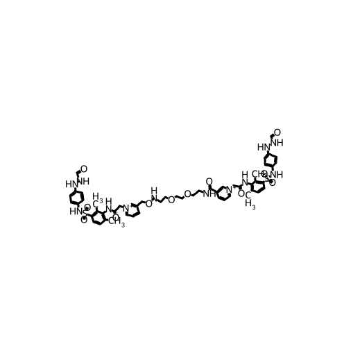 Cc1ccc(S(=O)(=O)Nc2ccc(NNC=O)cc2)c(C)c1NC(=O)C[n+]1cccc(CONCCOCCOCCNC(=O)c2ccc[n+](CC(=O)Nc3c(C)ccc(S(=O)(=O)Nc4ccc(NNC=O)cc4)c3C)c2)c1